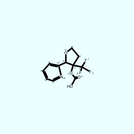 O=C(O)OC1(C(F)(F)F)CCOC1c1ccccn1